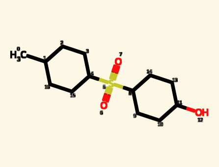 CC1CCC(S(=O)(=O)C2CCC(O)CC2)CC1